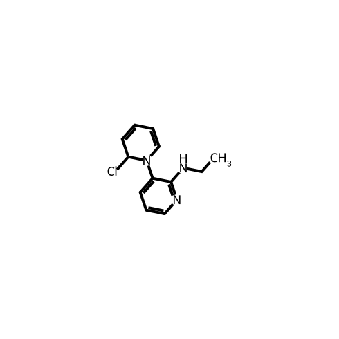 CCNc1ncccc1N1C=CC=CC1Cl